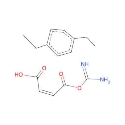 CCc1ccc(CC)cc1.N=C(N)OC(=O)/C=C\C(=O)O